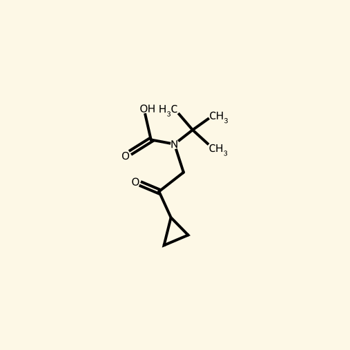 CC(C)(C)N(CC(=O)C1CC1)C(=O)O